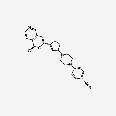 N#Cc1ccc(N2CCN(C3C=C(c4cc5cnccc5c(=O)o4)CC3)CC2)cc1